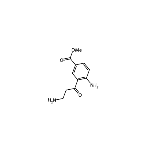 COC(=O)c1ccc(N)c(C(=O)CCN)c1